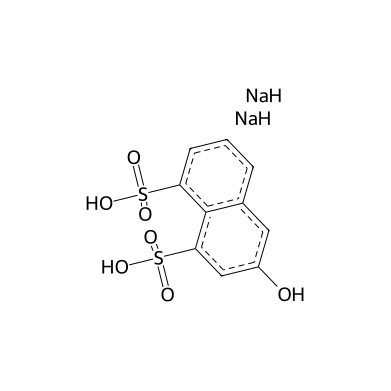 O=S(=O)(O)c1cccc2cc(O)cc(S(=O)(=O)O)c12.[NaH].[NaH]